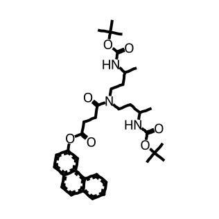 CC(CCN(CCC(C)NC(=O)OC(C)(C)C)C(=O)CCC(=O)Oc1ccc2ccc3ccccc3c2c1)NC(=O)OC(C)(C)C